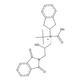 CC(C)(C)[N@+](CC(O)CN1C(=O)c2ccccc2C1=O)(C(=O)O)C1Cc2ccccc2C1